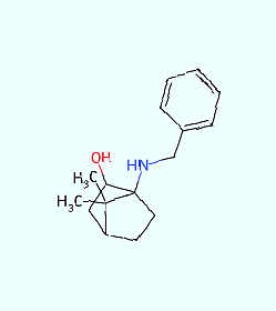 CC1(C)C2CCC1(NCc1ccccc1)C(O)C2